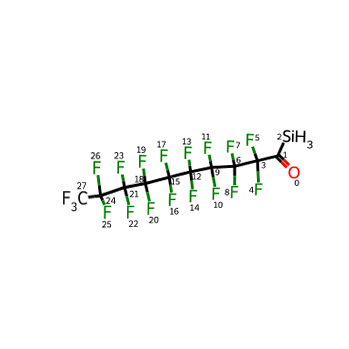 O=C([SiH3])C(F)(F)C(F)(F)C(F)(F)C(F)(F)C(F)(F)C(F)(F)C(F)(F)C(F)(F)C(F)(F)F